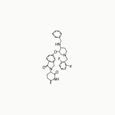 C=C1CCC(N2Cc3cc(OC4CN(Cc5c(F)cccc5F)CCC4NCc4ccccc4)ccc3C2=O)C(=O)N1